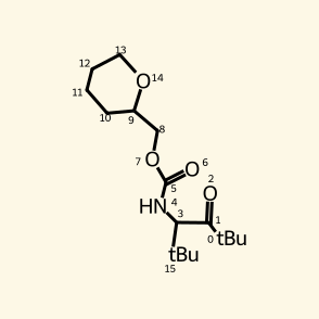 CC(C)(C)C(=O)C(NC(=O)OCC1CCCCO1)C(C)(C)C